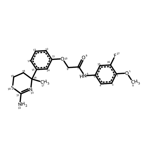 COc1ccc(NC(=O)COc2cccc(C3(C)CCSC(N)=N3)c2)cc1F